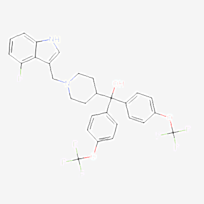 OC(c1ccc(OC(F)(F)F)cc1)(c1ccc(OC(F)(F)F)cc1)C1CCN(Cc2c[nH]c3cccc(F)c23)CC1